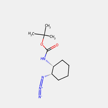 CC(C)(C)OC(=O)N[C@@H]1CCCC[C@@H]1N=[N+]=[N-]